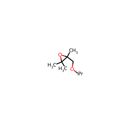 CC(C)OCC1(C)OC1(C)C